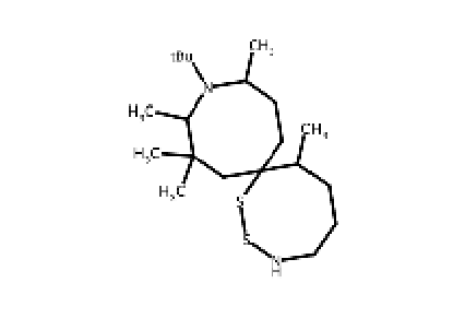 CC1CCC2(CC(C)(C)C(C)N1C(C)(C)C)SSNCCCC2C